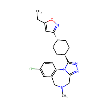 CCc1cc([C@H]2CC[C@H](c3nnc4n3-c3ccc(Cl)cc3CN(C)C4)CC2)no1